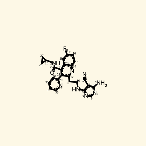 N#Cc1c(N)ncnc1NCCc1nc2ccc(F)cc2c(C(=O)NC2CC2)c1-c1ccccn1